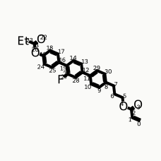 C=CC(=O)OCCCc1ccc(-c2ccc(-c3ccc(OC(=O)CC)cc3)c(F)c2)cc1